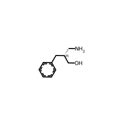 NC[C@H](CO)Cc1ccccc1